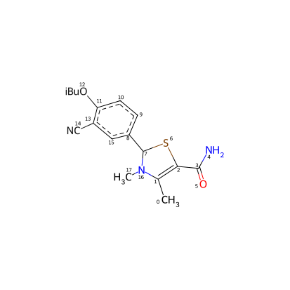 CC1=C(C(N)=O)SC(c2ccc(OCC(C)C)c(C#N)c2)N1C